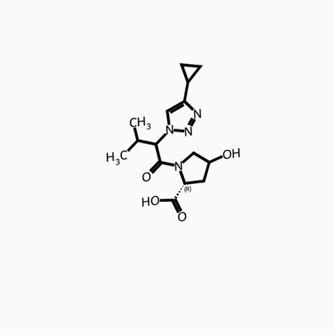 CC(C)C(C(=O)N1CC(O)C[C@@H]1C(=O)O)n1cc(C2CC2)nn1